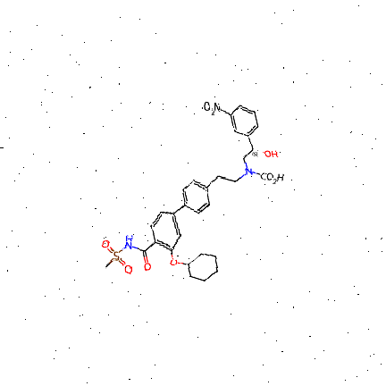 CS(=O)(=O)NC(=O)c1ccc(-c2ccc(CCN(C[C@@H](O)c3cccc([N+](=O)[O-])c3)C(=O)O)cc2)cc1OC1CCCCC1